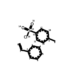 C=Cc1ccccc1.Cc1ccc(S(=O)(=O)Cl)cc1